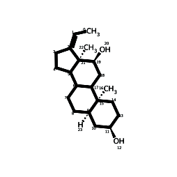 C/C=C1/CCC2C3CC[C@@H]4C[C@H](O)CC[C@]4(C)C3C[C@H](O)[C@]12C